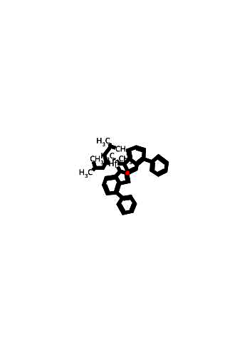 CC(C)C[C](CC(C)C)=[Hf]([CH3])([CH3])([CH]1C=Cc2c(-c3ccccc3)cccc21)[CH]1C=Cc2c(-c3ccccc3)cccc21